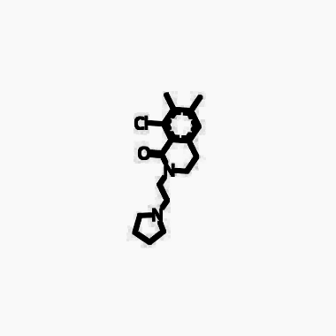 Cc1cc2c(c(Cl)c1C)C(=O)N(CCN1CCCC1)CC2